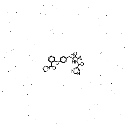 O=C(NC1(C(=O)NCc2ccc(Oc3ccccc3C(=O)N3CCCC3)cc2)CC1)c1cncnc1